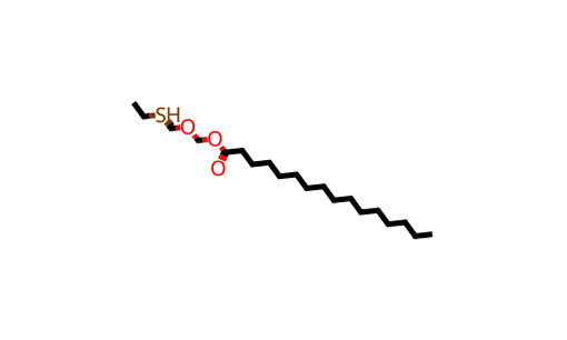 CCCCCCCCCCCCCCCC(=O)OCOC=[SH]CC